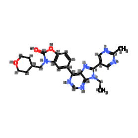 CCn1c(-c2cnc(C)nc2)nc2c(-c3ccc4oc(=O)n(CC5CCOCC5)c4c3)ncnc21